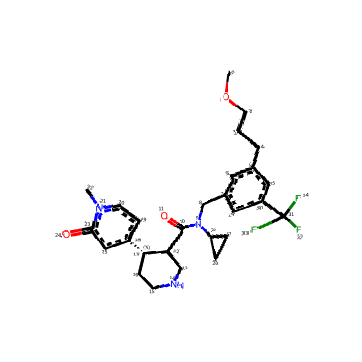 COCCCc1cc(CN(C(=O)C2CNCC[C@@H]2c2ccn(C)c(=O)c2)C2CC2)cc(C(F)(F)F)c1